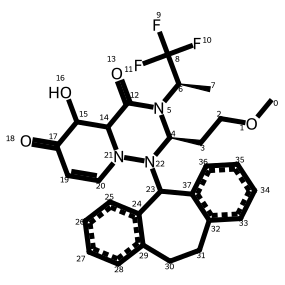 COCC[C@@H]1N([C@H](C)C(F)(F)F)C(=O)C2C(O)C(=O)C=CN2N1C1c2ccccc2CCc2ccccc21